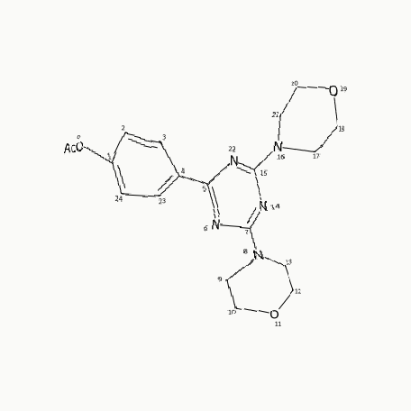 CC(=O)Oc1ccc(-c2nc(N3CCOCC3)nc(N3CCOCC3)n2)cc1